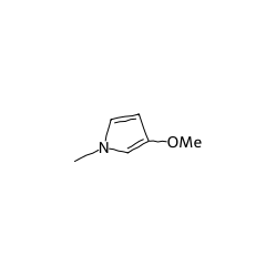 COc1ccn(C)c1